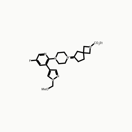 CCOC(=O)N1CC2(CCC(=[N+]3CCN(c4ncc(F)cc4-c4cnn(COC)c4)CC3)C2)C1